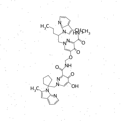 CCCC(Cn1cc(OCNC(=O)c2nn(CC3(n4c(C)cc5cccnc54)CCCC3)cc(O)c2=O)c(=O)c(C(=O)NC)n1)n1cc(C)c2cccnc21